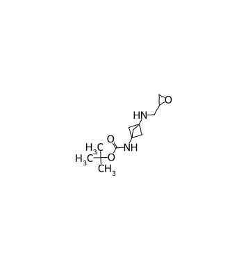 CC(C)(C)OC(=O)NC12CC(NCC3CO3)(C1)C2